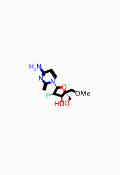 C=C1N=C(N)C=CN1[C@@H]1O[C@@](CO)(COC)[C@@H](O)[C@H]1F